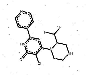 O=c1[nH]c(-c2ccncc2)nc(N2CCNCC2C(F)F)c1Cl